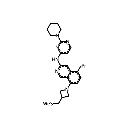 CSCC1CN(c2ccc(C(C)C)c3cc(Nc4ccnc(N5CCCCC5)n4)ncc23)C1